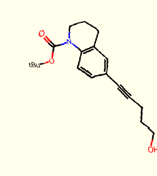 CC(C)(C)OC(=O)N1CCCc2cc(C#CCCCO)ccc21